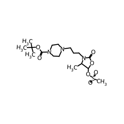 CC1C(OS(C)(=O)=O)OC(=O)N1CCCN1CCN(C(=O)OC(C)(C)C)CC1